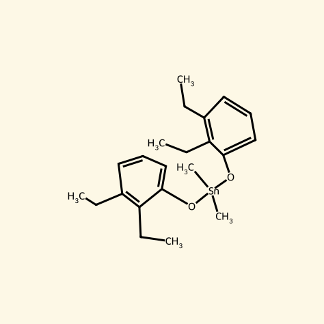 CCc1cccc([O][Sn]([CH3])([CH3])[O]c2cccc(CC)c2CC)c1CC